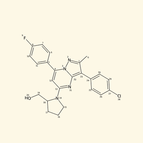 Cc1nn2c(-c3ccc(F)cc3)cc(N3CCCC3CO)nc2c1-c1ccc(Cl)cc1